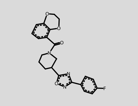 O=C(c1cccc2c1OCCO2)N1CCCC(c2nc(-c3ccc(F)cc3)no2)C1